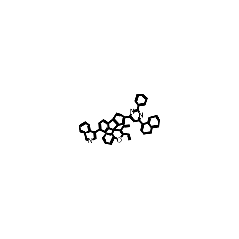 C=CC1=C(C=C)C2(c3ccccc3O1)c1cc(-c3cc(-c4cccc5ccccc45)nc(-c4ccccc4)n3)ccc1-c1ccc(-c3cncc4ccccc34)cc12